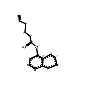 [CH]=CCCCC(=O)Oc1cccc2ccccc12